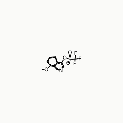 COc1cccc2c(OS(=O)(=O)C(F)(F)F)cncc12